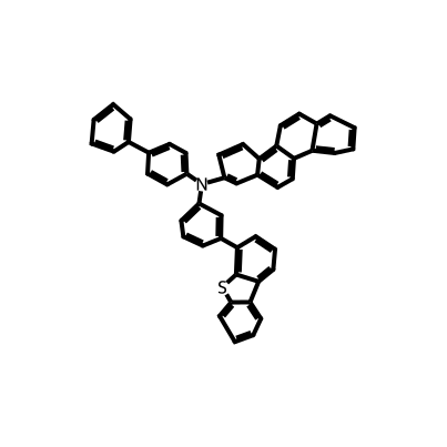 c1ccc(-c2ccc(N(c3cccc(-c4cccc5c4sc4ccccc45)c3)c3ccc4c(ccc5c6ccccc6ccc45)c3)cc2)cc1